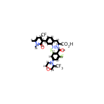 Cc1cc(C(F)(F)F)c(-c2ccc(CC(NC(=O)c3c(F)cc(N4CCOCC4C(F)(F)F)cc3F)C(=O)O)cc2)c(=O)n1C